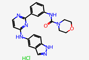 Cl.O=C(Nc1cccc(-c2nccc(Nc3ccc4[nH]ncc4c3)n2)c1)N1CCOCC1